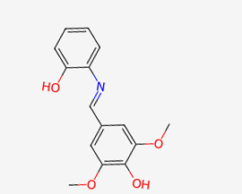 COc1cc(/C=N/c2ccccc2O)cc(OC)c1O